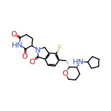 O=C1CCC(N2Cc3c(ccc(C[C@H]4OCCC[C@@H]4NC4CCCC4)c3F)C2=O)C(=O)N1